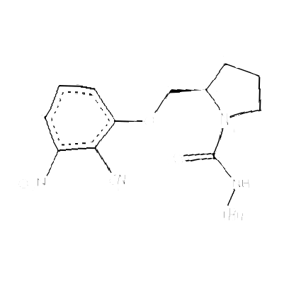 CC(C)(C)NC(=O)N1CCC[C@@H]1COc1cccc([N+](=O)[O-])c1C#N